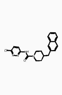 O=C(Nc1ccc(Cl)nn1)N1CCC(Cc2ccc3ccccc3c2)CC1